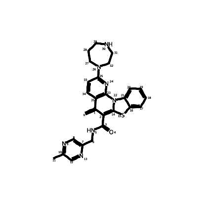 C=C1C(C(=O)NCc2cnc(C)cn2)=C2Sc3ccccc3N2c2nc(N3CCCNCC3)ccc21